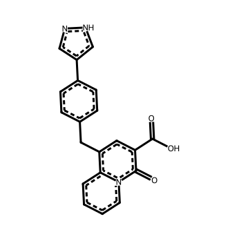 O=C(O)c1cc(Cc2ccc(-c3cn[nH]c3)cc2)c2ccccn2c1=O